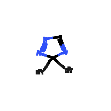 CCCC1(CCC)N=CN=N1